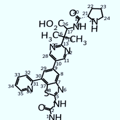 CCNC(=O)Nc1nc2cc(-c3cnc(C(C)(C)C(NC(=O)[C@@H]4CCCN4)C(=O)O)nc3)cc(-c3ccccn3)c2s1